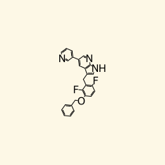 Fc1ccc(OCc2ccccc2)c(F)c1Cc1c[nH]c2ncc(-c3cccnc3)cc12